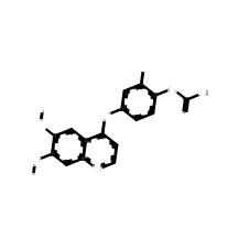 COc1cc2nccc(Oc3ccc(NC(N)=O)c(F)c3)c2cc1OC